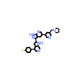 Fc1ccc(-c2cncc3[nH]c(-c4n[nH]c5ncc(-c6cncc(CN7CCCC7)c6)cc45)cc23)cc1